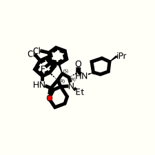 CCN1[C@@H](C(=O)N[C@H]2CC[C@H](C(C)C)CC2)[C@H](c2cccc(Cl)c2F)[C@]2(C(=O)Nc3cc(Cl)ccc32)C12CCCCC2